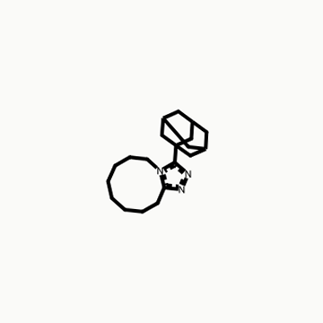 C1CCCCn2c(nnc2C23CC4CC(CC(C4)C2)C3)CCC1